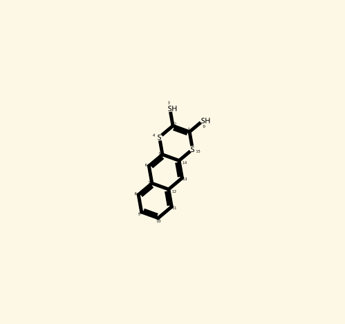 SC1=C(S)Sc2cc3ccccc3cc2S1